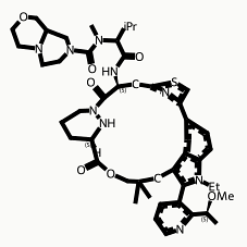 CCn1c(-c2cccnc2[C@H](C)OC)c2c3cc(ccc31)-c1csc(n1)C[C@H](NC(=O)C(C(C)C)N(C)C(=O)N1CCN3CCOCC3C1)C(=O)N1CCC[C@H](N1)C(=O)OCC(C)(C)C2